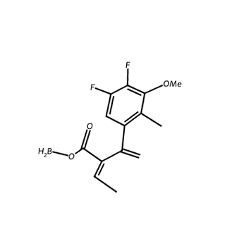 BOC(=O)/C(=C/C)C(=C)c1cc(F)c(F)c(OC)c1C